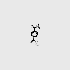 CCCOC(=O)c1ccc(C(=O)N(C)C)cc1